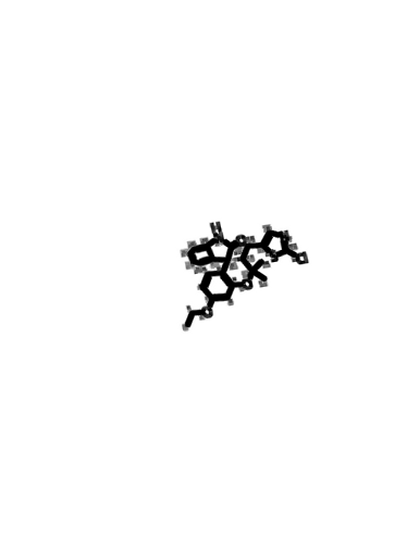 CCOc1ccc2c(c1)OC(C)(C)C(Cc1cnc(Cl)s1)[C@]21C(=O)Nc2ccccc21